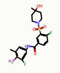 Cc1cc(NC(=O)c2ccc(F)c(S(=O)(=O)N3CCC(C)(O)CC3)c2)cc(F)c1P